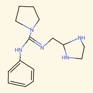 c1ccc(NC(=NCC2NCCN2)N2CCCC2)cc1